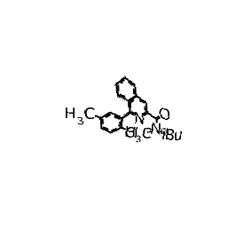 CC[C@H](C)N(C)C(=O)c1cc2ccccc2c(-c2cc(C)ccc2Cl)n1